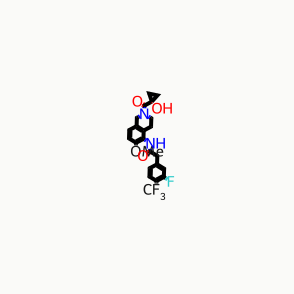 COc1ccc2c(c1NC(=O)Cc1ccc(C(F)(F)F)c(F)c1)CCN(C(=O)C1(O)CC1)C2